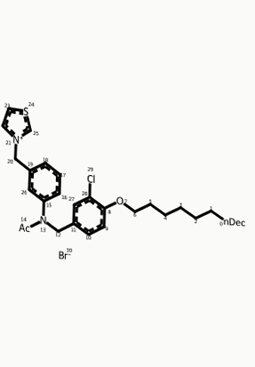 CCCCCCCCCCCCCCCCOc1ccc(CN(C(C)=O)c2cccc(C[n+]3ccsc3)c2)cc1Cl.[Br-]